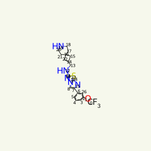 FC(F)(F)Oc1cccc(-c2cn3nc(NCC4CC5(CCNCC5)C4)sc3n2)c1